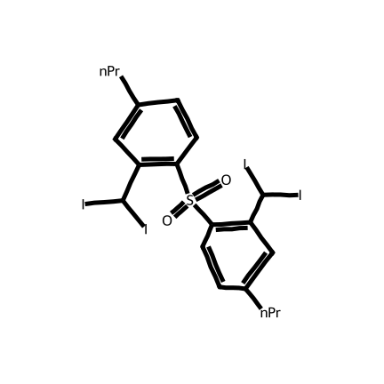 CCCc1ccc(S(=O)(=O)c2ccc(CCC)cc2C(I)I)c(C(I)I)c1